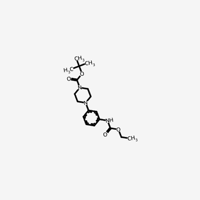 CCOC(=O)Nc1cccc(N2CCN(C(=O)OC(C)(C)C)CC2)c1